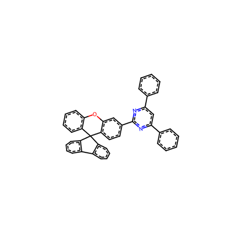 c1ccc(-c2cc(-c3ccccc3)nc(-c3ccc4c(c3)Oc3ccccc3C43c4ccccc4-c4ccccc43)n2)cc1